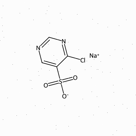 O=S(=O)([O-])c1cncnc1Cl.[Na+]